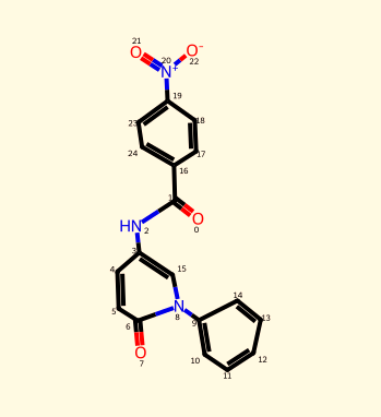 O=C(Nc1ccc(=O)n(-c2ccccc2)c1)c1ccc([N+](=O)[O-])cc1